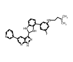 CN(C)CCNc1cc(F)cc(-c2cccc3c2NC(c2n[nH]c4ncc(-c5cccnc5)cc24)N3)c1